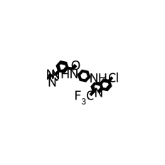 O=C(NC1CCC(Nc2cc(C(F)(F)F)nc3ccc(Cl)cc23)CC1)c1cccc(-n2cncn2)c1